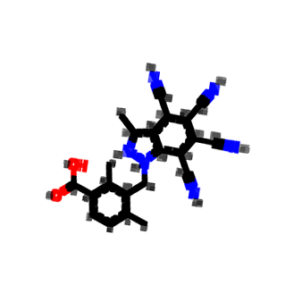 Cc1ccc(C(=O)O)c(C)c1Cn1nc(C)c2c(C#N)c(C#N)c(C#N)c(C#N)c21